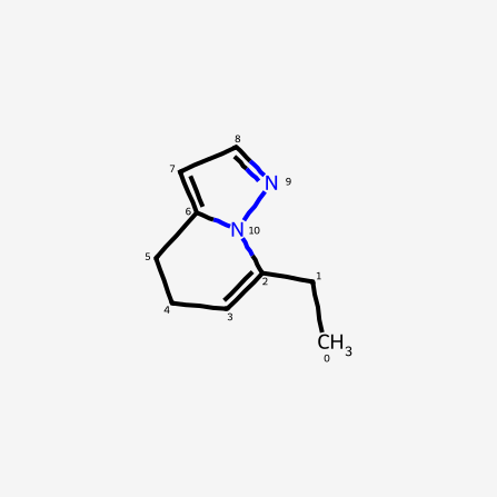 CCC1=CCCc2ccnn21